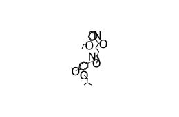 CCOc1cccnc1C(=O)CCc1coc(-c2ccc(OC)c(OCC(C)C)c2)n1